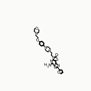 Nc1nc2c(sc(=O)n2CCN2CCN(c3ccc(OCCN4CCOCC4)cc3)CC2)c2nc(-c3ccco3)nn12